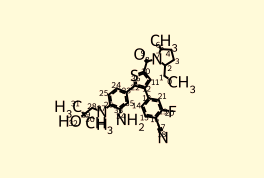 CCC1CCC(C)N1C(=O)c1cc(-c2ccc(C#N)c(F)c2)c(-c2ccc(NCC(C)(C)O)c(N)c2)s1